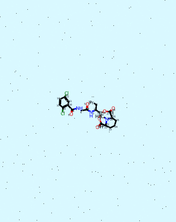 CC(C)CC(NC(=O)CNC(=O)c1cc(Cl)ccc1Cl)B1OC(=O)[C@@H]2CCC[C@@H](C(=O)O1)N2C